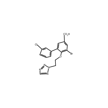 O=C(O)c1cc(Br)c(OCCn2ncnn2)c(-c2cccc(Cl)c2)c1